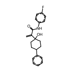 C=C(C(=O)Nc1ccc(F)cc1)C1(O)CCC(c2ccccc2)CC1